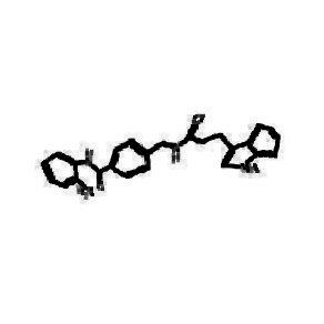 Nc1ccccc1NC(=O)c1ccc(CNC(=O)CCc2c[nH]c3ccccc23)cc1